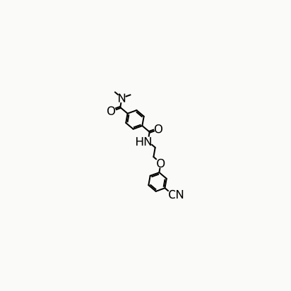 CN(C)C(=O)c1ccc(C(=O)NCCOc2cccc(C#N)c2)cc1